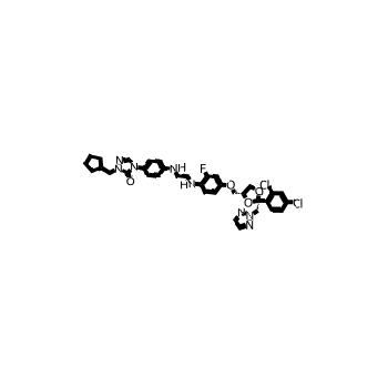 O=c1n(-c2ccc(NCCNc3ccc(OC[C@@H]4CO[C@@](Cn5nccn5)(c5ccc(Cl)cc5Cl)O4)cc3F)cc2)cnn1CC1CCCC1